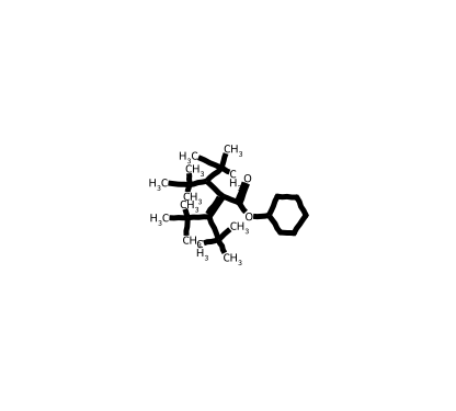 CC(C)(C)C(=C(C(=O)OC1CCCCC1)C(C(C)(C)C)C(C)(C)C)C(C)(C)C